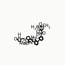 COc1nc(-c2cccc(-c3cccc(NC(=O)c4cn(C)c(=O)n(C)c4=O)c3C)c2Cl)cc2c1C(NCC1CCC(=O)N1)CC2